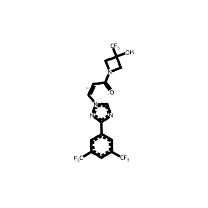 O=C(/C=C\n1cnc(-c2cc(C(F)(F)F)cc(C(F)(F)F)c2)n1)N1CC(O)(C(F)(F)F)C1